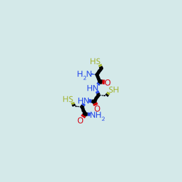 NC(=O)[C@H](CS)NC(=O)[C@@H](CS)NC(=O)[C@H](N)CS